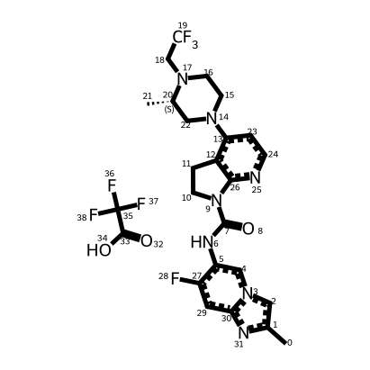 Cc1cn2cc(NC(=O)N3CCc4c(N5CCN(CC(F)(F)F)[C@@H](C)C5)ccnc43)c(F)cc2n1.O=C(O)C(F)(F)F